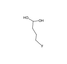 O[C](O)CCCF